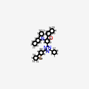 c1ccc(-c2nc(-c3cc(-n4c5ccccc5c5cc6ccccc6cc54)c4c(c3)oc3c5ccccc5ccc34)nc(-c3ccc4c(c3)sc3ccccc34)n2)cc1